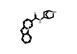 O=C(NC1CC2CC1CN2)c1ccc2cc3ccccc3n2c1